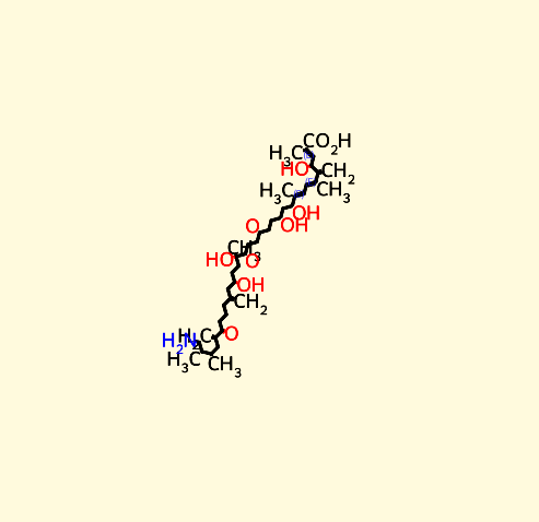 C=C(CCCC(=O)C(=C)CC(C)C(C)CN)CC(O)CCC(C)(O)C(=O)CCC(=O)CCC(O)CC(O)/C(C)=C/C=C(\C)C(=C)C(O)/C=C(\C)C(=O)O